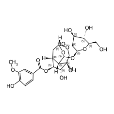 COc1cc(C(=O)O[C@H]2[C@@H]3C[C@@H]4OC[C@@](O)([C@H]3[C@H](O[C@@H]3O[C@H](CO)[C@@H](O)[C@H](O)[C@H]3O)O4)[C@@H]2O)ccc1O